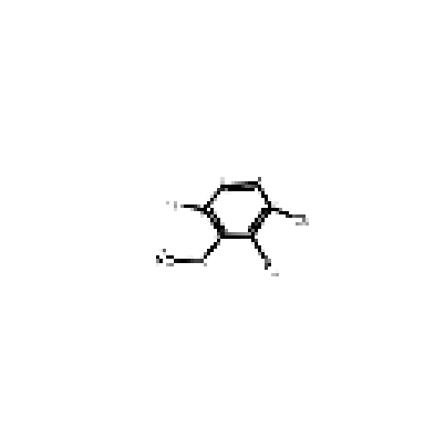 N#CCc1c(F)ccc(Cl)c1F